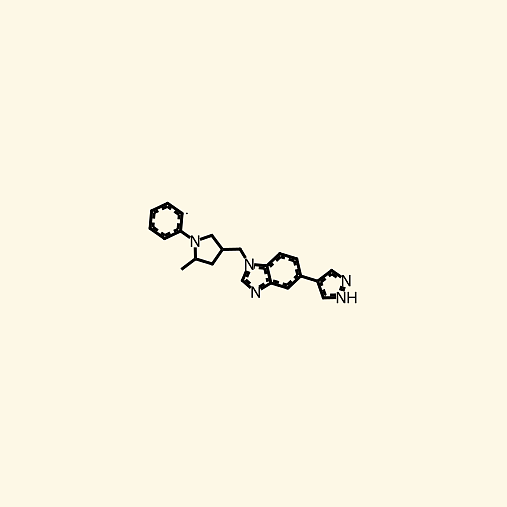 CC1CC(Cn2cnc3cc(-c4cn[nH]c4)ccc32)CN1c1[c]cccc1